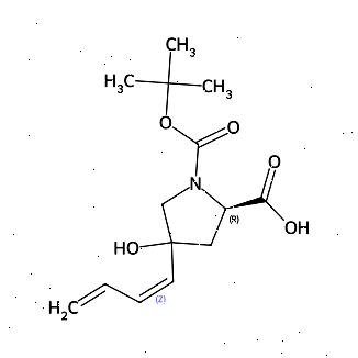 C=C/C=C\C1(O)C[C@H](C(=O)O)N(C(=O)OC(C)(C)C)C1